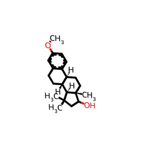 COc1ccc2c(c1)CC[C@@H]1[C@@H]2CC[C@]2(C)C(O)CC(C)(C)[C@@H]12